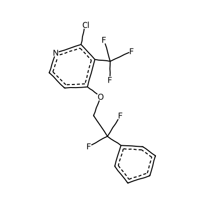 FC(F)(F)c1c(OCC(F)(F)c2ccccc2)ccnc1Cl